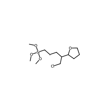 CO[Si](C[CH]CC(CCl)C1CCCO1)(OC)OC